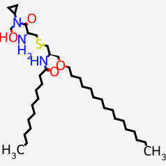 CCCCCCCCCCCCCCCCOC[C@H](CSC[C@H](N)C(=O)N(CO)C1CC1)NC(=O)CCCCCCCCCCC